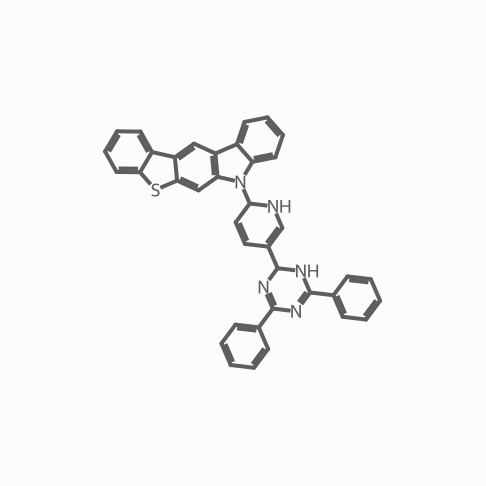 C1=CC(n2c3ccccc3c3cc4c(cc32)sc2ccccc24)NC=C1C1N=C(c2ccccc2)N=C(c2ccccc2)N1